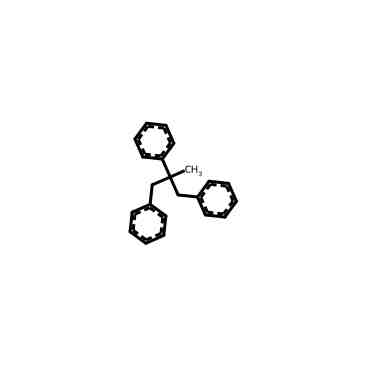 CC(Cc1ccccc1)(Cc1ccccc1)c1ccccc1